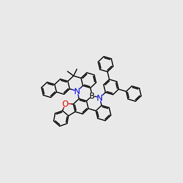 CC1(C)c2cc3ccccc3cc2N2c3c(cccc31)B1c3c(cc4c(oc5ccccc54)c32)-c2ccccc2N1c1cc(-c2ccccc2)cc(-c2ccccc2)c1